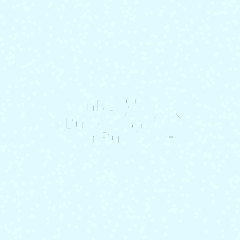 CCC[CH2][Sn]([CH2]CCC)([CH2]CCC)[C](C)(C)C(=O)Oc1ccccc1